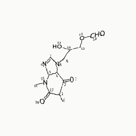 CC1C(=O)C2C(N=CN2CC(O)COC=O)N(C)C1=O